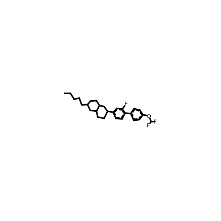 CCCCCC1CCC2CC(c3ccc(-c4ccc(OC(F)F)cc4)c(F)c3)CCC2C1